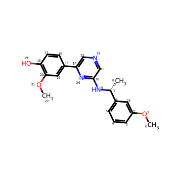 COc1cccc([C@@H](C)Nc2cncc(-c3ccc(O)c(OC)c3)n2)c1